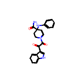 NC(=O)C1(Nc2ccccc2)CCN(C(=O)C(=O)c2c[nH]c3c2=CCCC=3)CC1